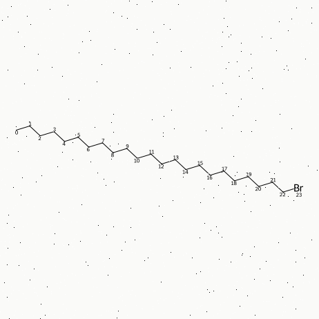 CCCCCCCCCCCCCCCCCCCCCCCBr